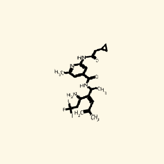 C=C(C)/C=C(\C(N)CC(F)(I)I)C(C)NC(=O)c1cc(C)nc(NC(=O)CC2CC2)c1